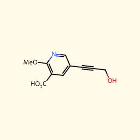 COc1ncc(C#CCO)cc1C(=O)O